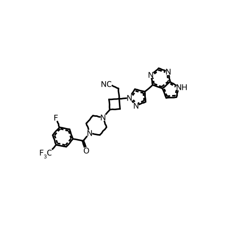 N#CCC1(n2cc(-c3ncnc4[nH]ccc34)cn2)CC(N2CCN(C(=O)c3cc(F)cc(C(F)(F)F)c3)CC2)C1